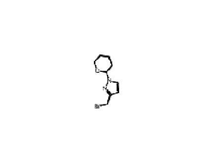 BrCc1ccn(C2CCCCO2)n1